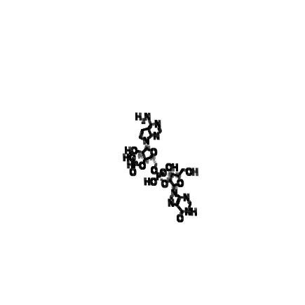 Nc1ncnc2c1ccn2[C@@H]1O[C@H](COP(=O)(O)O[C@@H]2[C@H](O)[C@@H](CO)O[C@H]2n2cnc3c(=O)[nH]cnc32)[C@@H](O[PH](=O)O)[C@H]1O